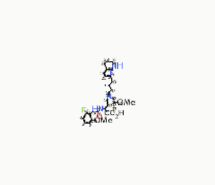 COc1cccc(F)c1CC(=O)NC(CCN(CCCCc1ccc2c(n1)NCCC2)CC(CF)OC)C(=O)O